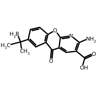 BC(C)(C)c1ccc2oc3nc(N)c(C(=O)O)cc3c(=O)c2c1